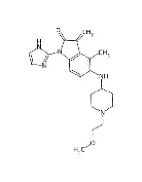 C=C1C(=O)N(c2ncc[nH]2)c2ccc(NC3CCN(CCOC)CC3)c(C)c21